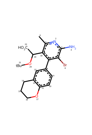 Cc1nc(N)c(Br)c(-c2ccc3c(c2)CCCO3)c1C(OC(C)(C)C)C(=O)O